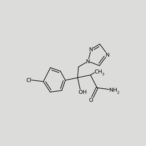 CC(C(N)=O)C(O)(Cn1cncn1)c1ccc(Cl)cc1